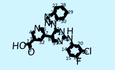 O=C(O)c1cncc(-c2cnc(Nc3ccc(F)c(Cl)c3)nc2-n2nnc3ccccc32)c1